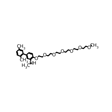 CNc1cc(-c2cc(C)ccc2C)ccc1OCCOCCOCCOCCOCCOCCOC